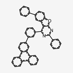 c1ccc(-c2ccc3oc4nc(-c5ccccc5)nc(-c5cccc(-c6ccc7c8ccccc8c8ccccc8c7c6)c5)c4c3c2)cc1